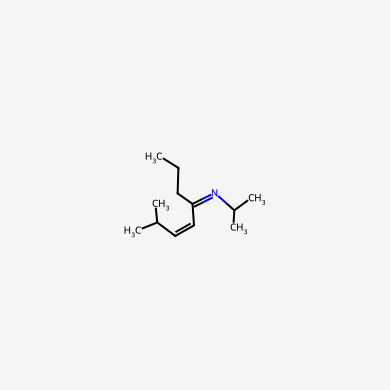 CCCC(/C=C\C(C)C)=N/C(C)C